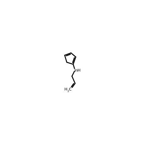 C=C[CH2][InH][C]1=CC=CC1